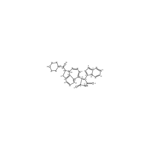 O=C1NC(=O)C(c2cnc3cnccn23)=C1C1=NC=CN2c3c(cccc31)CC2C(=O)N1CCOCC1